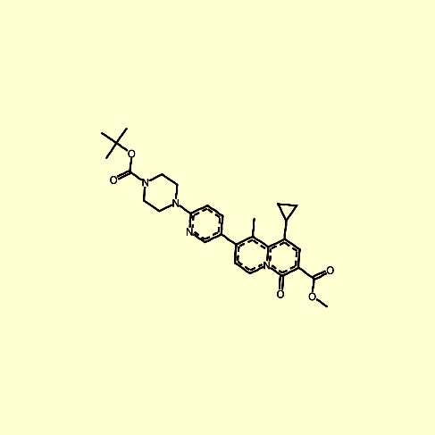 COC(=O)c1cc(C2CC2)c2c(C)c(-c3ccc(N4CCN(C(=O)OC(C)(C)C)CC4)nc3)ccn2c1=O